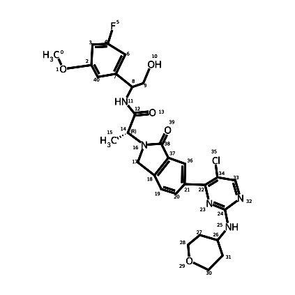 COc1cc(F)cc(C(CO)NC(=O)[C@@H](C)N2Cc3ccc(-c4nc(NC5CCOCC5)ncc4Cl)cc3C2=O)c1